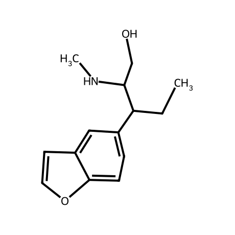 CCC(c1ccc2occc2c1)C(CO)NC